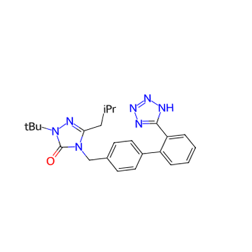 CC(C)Cc1nn(C(C)(C)C)c(=O)n1Cc1ccc(-c2ccccc2-c2nnn[nH]2)cc1